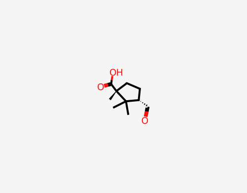 CC1(C)[C@@H](C=O)CC[C@@]1(C)C(=O)O